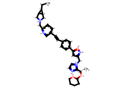 C[C@H](OC1CCCCO1)c1nccn1Cc1cc(-c2ccc(C#Cc3ccc(CN4CC5C(CC#N)C5C4)nc3)cc2)on1